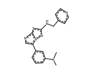 CN(C)c1cccc(-c2cnc3sc(NCc4ccncc4)nn23)c1